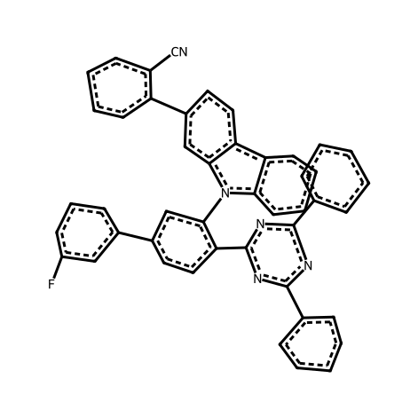 N#Cc1ccccc1-c1ccc2c3ccccc3n(-c3cc(-c4cccc(F)c4)ccc3-c3nc(-c4ccccc4)nc(-c4ccccc4)n3)c2c1